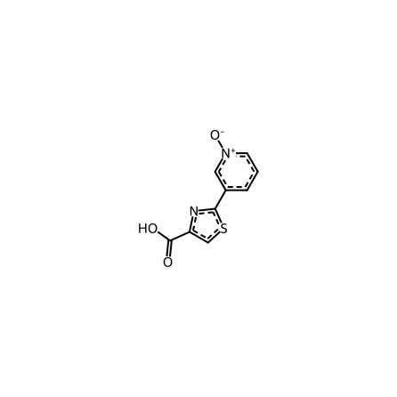 O=C(O)c1csc(-c2ccc[n+]([O-])c2)n1